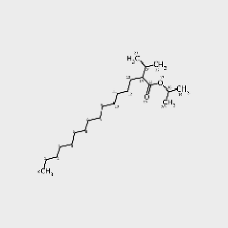 CCCCCCCCCCCCCCC(C(=O)OC(C)C)C(C)C